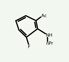 CCCNc1c(F)cccc1C(C)=O